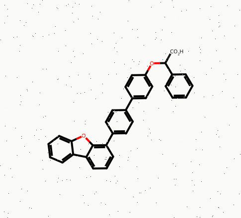 O=C(O)C(Oc1ccc(-c2ccc(-c3cccc4c3oc3ccccc34)cc2)cc1)c1ccccc1